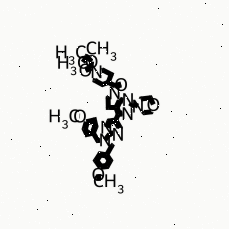 COc1ccc(CN(Cc2ccc(OC)cc2)c2ncc(-c3nc(N4CCOCC4)nc4c3CCN4C(=O)C3CCN(C(=O)OC(C)(C)C)CC3)cn2)cc1